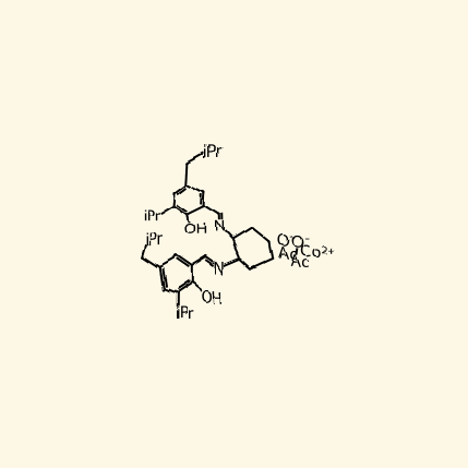 CC(=O)[O-].CC(=O)[O-].CC(C)Cc1cc(C=NC2CCCCC2N=Cc2cc(CC(C)C)cc(C(C)C)c2O)c(O)c(C(C)C)c1.[Co+2]